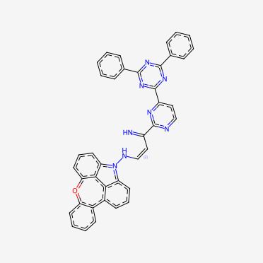 N=C(/C=C\Nn1c2cccc3oc4ccccc4c4cccc1c4c32)c1nccc(-c2nc(-c3ccccc3)nc(-c3ccccc3)n2)n1